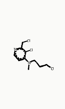 CN(CCCCl)c1ccnc(CCl)c1Cl